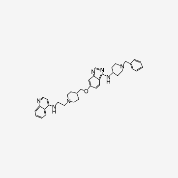 c1ccc(CN2CCC(Nc3ncnc4cc(OCC5CCN(CCNc6ccnc7ccccc67)CC5)ccc34)CC2)cc1